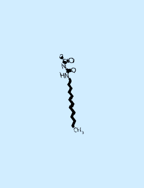 CCCCCCCCCCCCCNC(=O)N=S(=O)=O